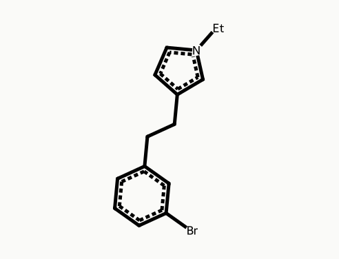 CCn1ccc(CCc2cccc(Br)c2)c1